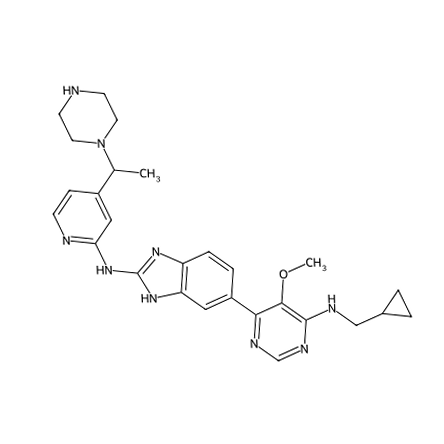 COc1c(NCC2CC2)ncnc1-c1ccc2nc(Nc3cc(C(C)N4CCNCC4)ccn3)[nH]c2c1